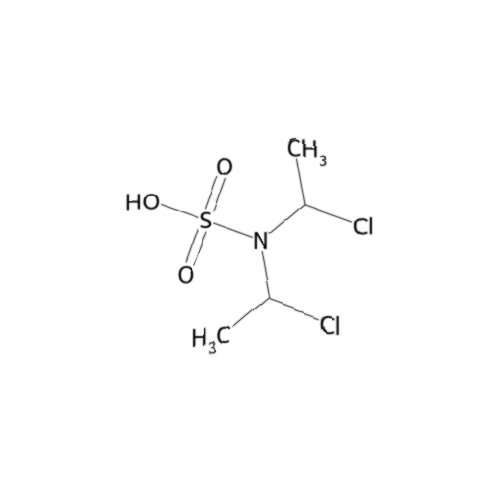 CC(Cl)N(C(C)Cl)S(=O)(=O)O